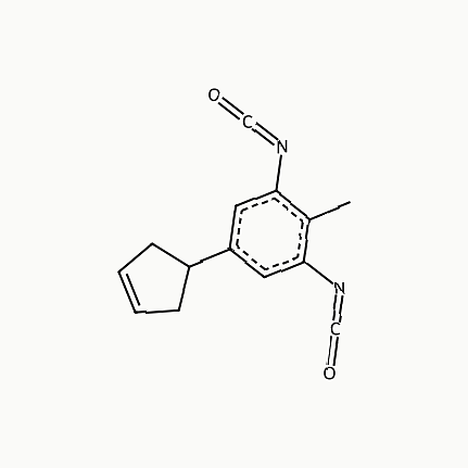 Cc1c(N=C=O)cc(C2CC=CC2)cc1N=C=O